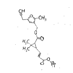 C#CCc1cc(COC(=O)C2C(C=CC(=O)OC(C)C)C2(C)C)c(C)o1